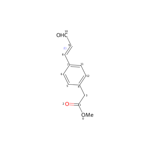 COC(=O)Cc1ccc(/C=C/C=O)cc1